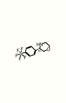 FS(F)(F)(F)(F)c1ccc([C@@H]2COCCN2)cc1